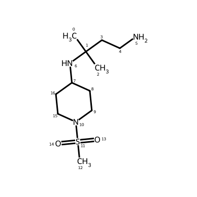 CC(C)(CCN)NC1CCN(S(C)(=O)=O)CC1